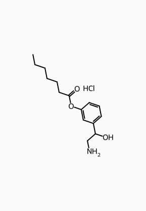 CCCCCCC(=O)Oc1cccc(C(O)CN)c1.Cl